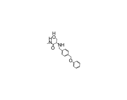 CNC(=O)C(CO)NCc1ccc(COc2ccccc2)cc1